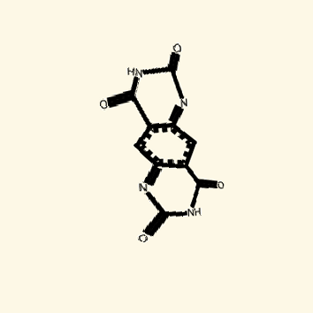 O=C1N=c2cc3c(cc2C(=O)N1)=NC(=O)NC3=O